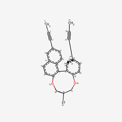 CC#Cc1ccc2c3c(ccc2c1)OCC(CC)COc1ccc2cc(C#CC)ccc2c1-3